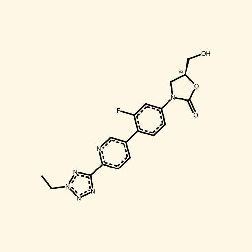 CCn1nnc(-c2ccc(-c3ccc(N4C[C@@H](CO)OC4=O)cc3F)cn2)n1